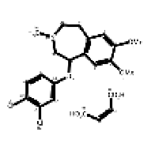 COc1cc2c(cc1OC)C(Oc1ccc(Cl)c(Cl)c1)CN(C)CC2.O=C(O)/C=C\C(=O)O